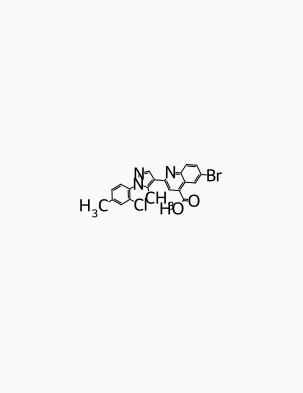 Cc1ccc(-n2ncc(-c3cc(C(=O)O)c4cc(Br)ccc4n3)c2C)c(Cl)c1